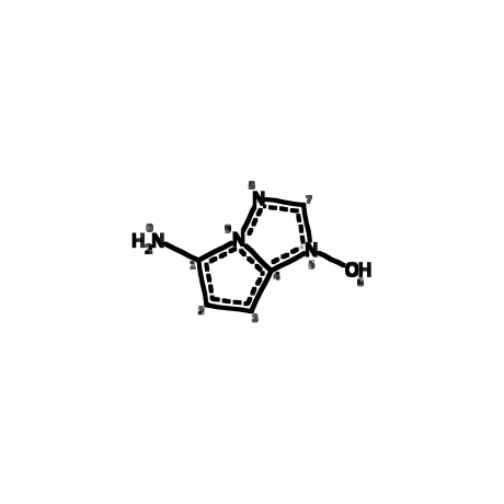 Nc1ccc2n(O)cnn12